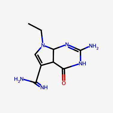 CCN1C=C(C(=N)N)C2C(=O)NC(N)=NC21